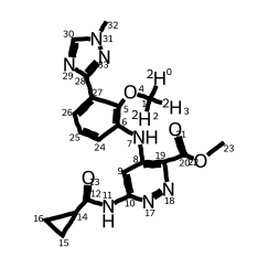 [2H]C([2H])([2H])Oc1c(Nc2cc(NC(=O)C3CC3)nnc2C(=O)OC)cccc1-c1ncn(C)n1